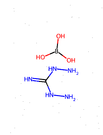 N=C(NN)NN.OB(O)O